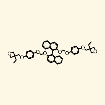 CCC1(COc2ccc(OCOc3ccc4ccccc4c3-c3c(OCOc4ccc(OCC5(CC)COC5)cc4)ccc4ccccc34)cc2)COC1